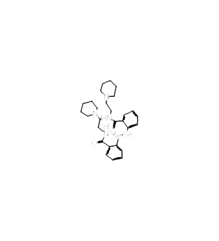 O=C(NCCN1CCCCC1)c1ccccc1[Se][Se]c1ccccc1C(=O)NCCN1CCCCC1